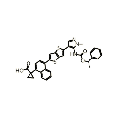 C[C@@H](OC(=O)Nc1c(-c2cc3sc(-c4ccc(C5(C(=O)O)CC5)c5ccccc45)cc3s2)cnn1C)c1ccccc1